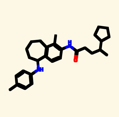 Cc1ccc(NC2CCCCc3c2ccc(NC(=O)CCC(C)C2CCCC2)c3C)cc1